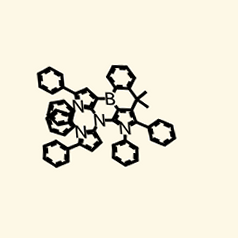 CC1(C)c2ccccc2B2c3cc(-c4ccccc4)n(-c4ccccc4)c3N(c3ccc(-c4ccccc4)n3-c3ccccc3)c3c2c1c(-c1ccccc1)n3-c1ccccc1